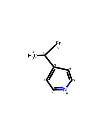 CCC(C)c1[c]cncc1